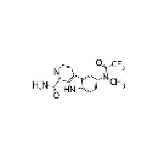 CN(C(=O)C(F)(F)F)c1ccc2[nH]c3c(C(N)=O)nccc3c2c1